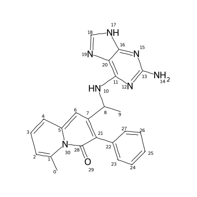 Cc1cccc2cc(C(C)Nc3nc(N)nc4[nH]cnc34)c(-c3ccccc3)c(=O)n12